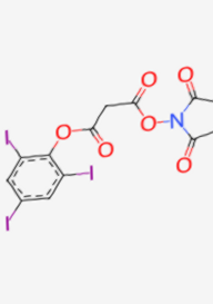 O=C(CC(=O)ON1C(=O)CCC1=O)Oc1c(I)cc(I)cc1I